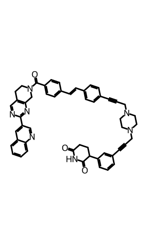 O=C1CCC(c2cccc(C#CCN3CCN(CC#Cc4ccc(/C=C/c5ccc(C(=O)N6CCc7cnc(-c8cnc9ccccc9c8)nc7C6)cc5)cc4)CC3)c2)C(=O)N1